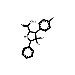 COC(=O)C1NC(c2ccccc2)C(C#N)(C#N)C1c1ccc(F)cc1